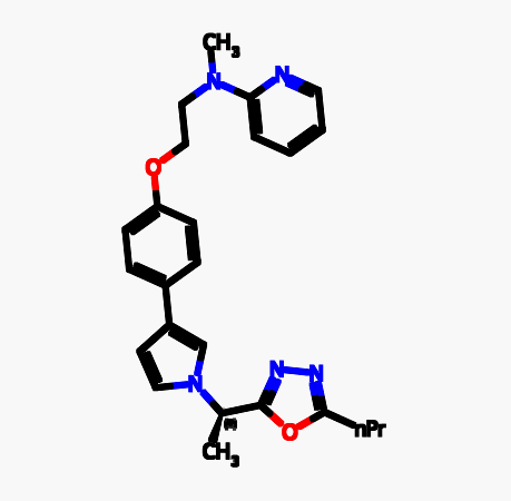 CCCc1nnc([C@@H](C)n2ccc(-c3ccc(OCCN(C)c4ccccn4)cc3)c2)o1